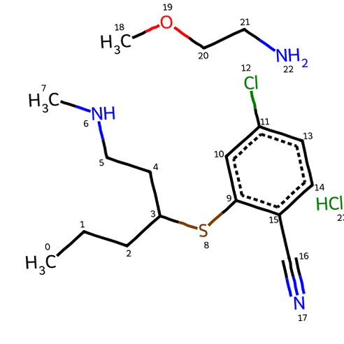 CCCC(CCNC)Sc1cc(Cl)ccc1C#N.COCCN.Cl